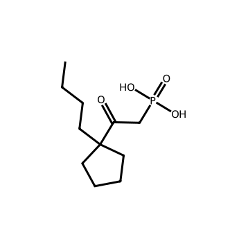 CCCCC1(C(=O)CP(=O)(O)O)CCCC1